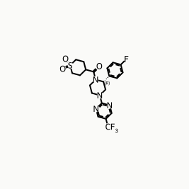 O=C(C1CCS(=O)(=O)CC1)N1CCN(c2ncc(C(F)(F)F)cn2)C[C@H]1c1ccc(F)cc1